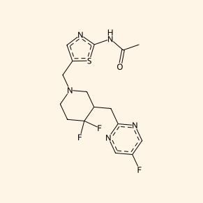 CC(=O)Nc1ncc(CN2CCC(F)(F)C(Cc3ncc(F)cn3)C2)s1